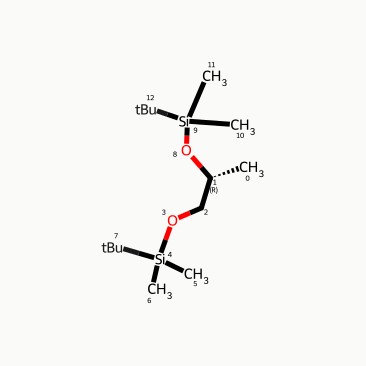 C[C@H](CO[Si](C)(C)C(C)(C)C)O[Si](C)(C)C(C)(C)C